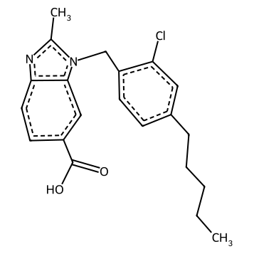 CCCCCc1ccc(Cn2c(C)nc3ccc(C(=O)O)cc32)c(Cl)c1